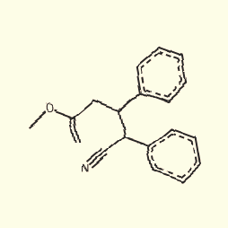 C=C(CC(c1ccccc1)C(C#N)c1ccccc1)OC